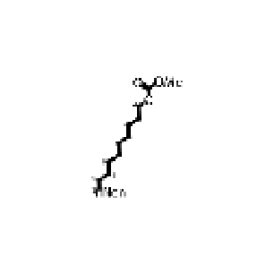 [CH2]OC(=O)OCCCCCCCCCCCCCCCCCC